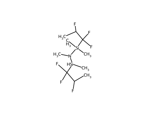 CC(F)C(F)(F)[SiH](C)N(C)[Si](C)(C)C(F)(F)C(C)F